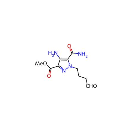 COC(=O)c1nn(CCCC=O)c(C(N)=O)c1N